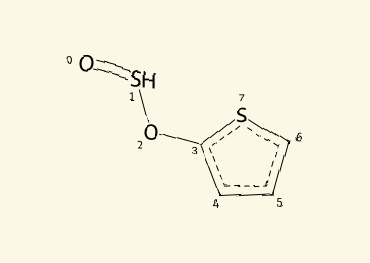 O=[SH]Oc1cccs1